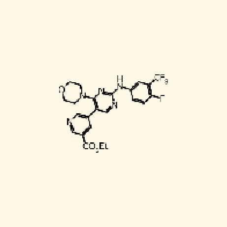 CCOC(=O)c1cncc(-c2cnc(Nc3ccc(F)c(C(F)(F)F)c3)nc2N2CCOCC2)c1